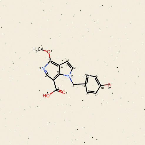 COc1ncc(C(=O)O)c2c1ccn2Cc1ccc(Br)cc1